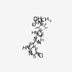 CN(C(=O)O)[C@@H]1CCC[C@H](Nc2nc(-c3c[nH]c4ncc(Cl)cc34)ncc2F)C1